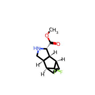 COC(=O)[C@H]1NC[C@H]2[C@@H]1[C@H]1C=C[C@@H]2C1(F)F